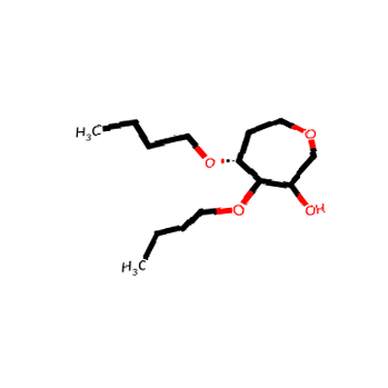 CCCCOC1C(O)COCC[C@H]1OCCCC